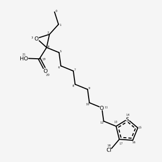 CCC1OC1(CCCCCCOCc1sccc1Cl)C(=O)O